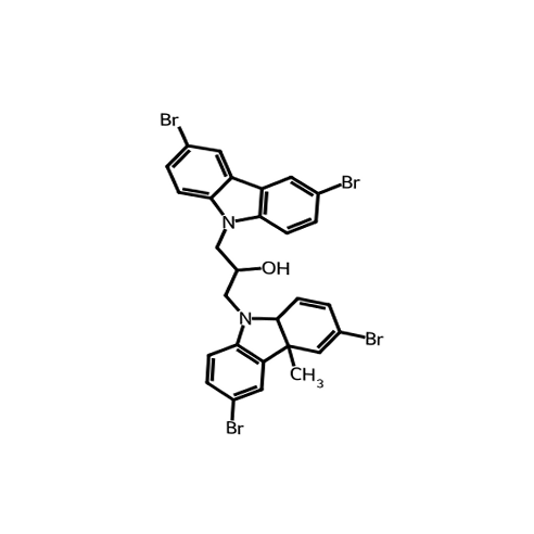 CC12C=C(Br)C=CC1N(CC(O)Cn1c3ccc(Br)cc3c3cc(Br)ccc31)c1ccc(Br)cc12